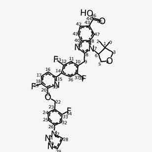 CC1(C)COCC1n1c(Cc2cc(F)c(-c3ccc(F)c(OCc4ccc(-n5ccnn5)cc4F)n3)cc2F)nc2ccc(C(=O)O)cc21